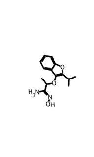 CC(Oc1c(C(C)C)oc2ccccc12)C(N)=NO